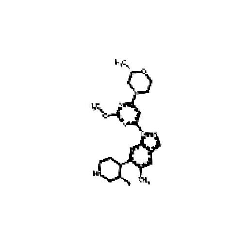 COc1nc(N2CCO[C@@H](C)C2)cc(-n2ncc3cc(C)c([C@@H]4CCNC[C@@H]4F)cc32)n1